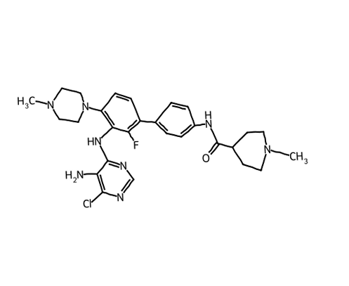 CN1CCC(C(=O)Nc2ccc(-c3ccc(N4CCN(C)CC4)c(Nc4ncnc(Cl)c4N)c3F)cc2)CC1